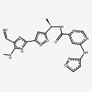 CNc1[nH]c(-c2cc([C@@H](C)NC(=O)c3cc(Nc4ccon4)ncn3)on2)nc1C=N